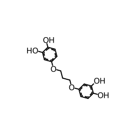 Oc1ccc(OCCCOc2ccc(O)c(O)c2)cc1O